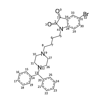 O=C1C(=O)N(CCCCN2CCN(C(c3ccccc3)c3ccccc3)CC2)c2ccc(Br)cc21